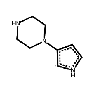 [c]1[nH]ccc1N1CCNCC1